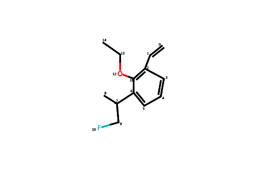 C=Cc1cccc([C](C)CF)c1OCC